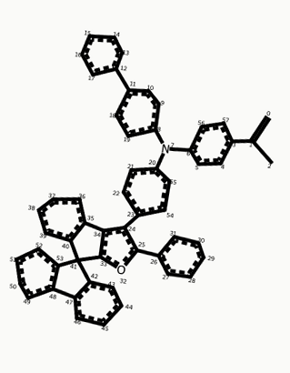 C=C(C)c1ccc(N(c2ccc(-c3ccccc3)cc2)c2ccc(-c3c(-c4ccccc4)oc4c3-c3ccccc3C43c4ccccc4-c4ccccc43)cc2)cc1